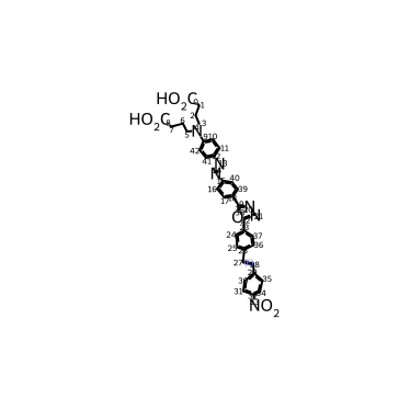 O=C(O)CCCN(CCCC(=O)O)c1ccc(N=Nc2ccc(-c3nnc(-c4ccc(/C=C/c5ccc([N+](=O)[O-])cc5)cc4)o3)cc2)cc1